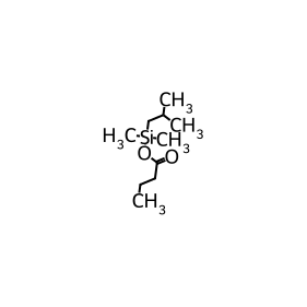 CCCC(=O)O[Si](C)(C)CC(C)C